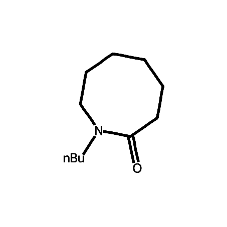 CCCCN1CCCCCCC1=O